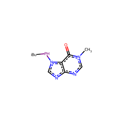 CCC(C)Pn1cnc2ncn(C)c(=O)c21